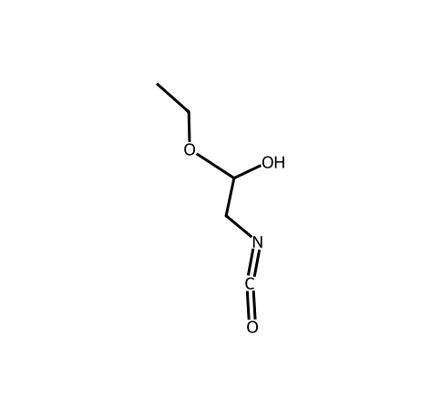 CCOC(O)CN=C=O